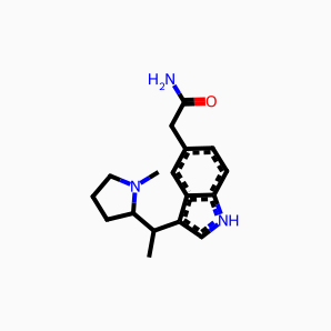 CC(c1c[nH]c2ccc(CC(N)=O)cc12)C1CCCN1C